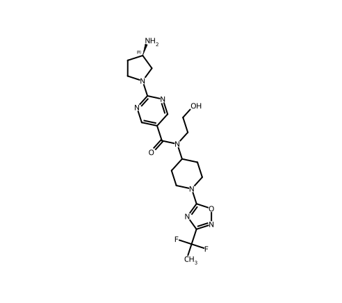 CC(F)(F)c1noc(N2CCC(N(CCO)C(=O)c3cnc(N4CC[C@@H](N)C4)nc3)CC2)n1